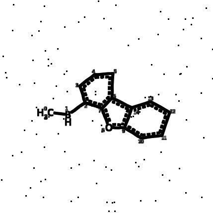 CBc1cccc2c1oc1ccccc12